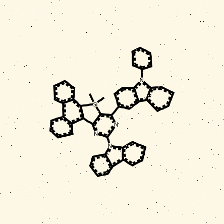 C[Si]1(C)c2c(-c3ccc4c(c3)c3ccccc3n4-c3ccccc3)nc(-n3c4ccccc4c4ccccc43)nc2-c2c1c1ccccc1c1ccccc21